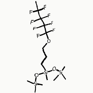 CC(F)(F)C(F)(F)C(F)(F)C(F)(F)OCCC[Si](C)(O[Si](C)(C)C)O[Si](C)(C)C